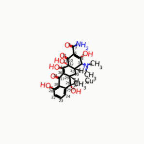 CN(C)[C@@H]1C(O)=C(C(N)=O)C(=O)[C@@]2(O)C(O)=C3C(=O)c4c(O)cccc4[C@@](C)(O)[C@H]3C[C@@H]12.[Cu]